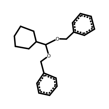 c1ccc(COC(OCc2ccccc2)C2CCCCC2)cc1